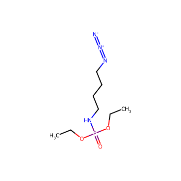 CCOP(=O)(NCCCCN=[N+]=[N-])OCC